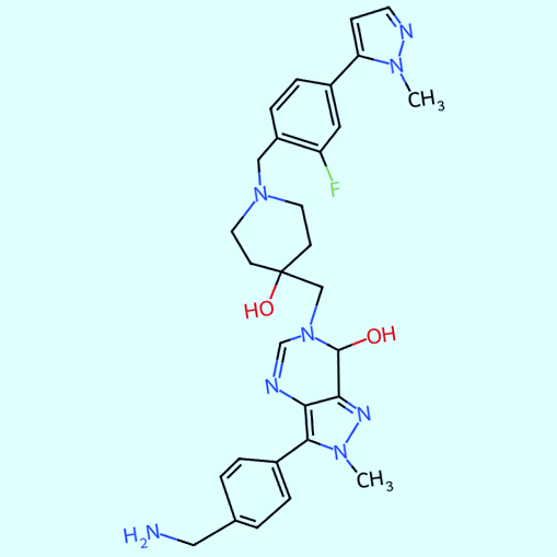 Cn1nccc1-c1ccc(CN2CCC(O)(CN3C=Nc4c(nn(C)c4-c4ccc(CN)cc4)C3O)CC2)c(F)c1